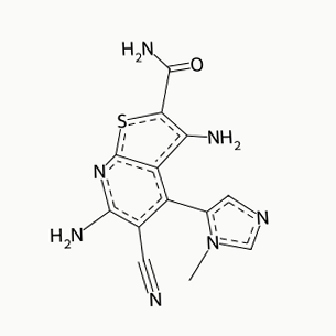 Cn1cncc1-c1c(C#N)c(N)nc2sc(C(N)=O)c(N)c12